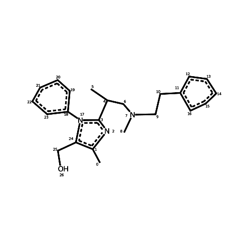 Cc1nc(C(C)CN(C)CCc2ccccc2)n(-c2ccccc2)c1CO